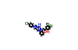 N=c1n(Cc2cn(-c3ccc(Cl)cc3)nn2)c2ccccc2n1CC(O)c1ccc(Cl)c(Cl)c1